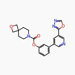 O=C(Oc1cccc(-c2cncc(-c3nnco3)c2)c1)N1CCC2(CC1)COC2